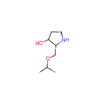 CC(C)OCC1NCCC1O